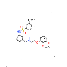 COc1cccc(S(=O)(=O)Nc2cccc(CNCCOc3cccc4c3OCCO4)c2)c1